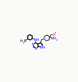 Bc1cccc(Nc2ncnc3[nH]cc(CN4CCC(N)(COC)CC4)c23)c1